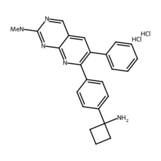 CNc1ncc2cc(-c3ccccc3)c(-c3ccc(C4(N)CCC4)cc3)nc2n1.Cl.Cl